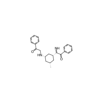 C[C@@H]1C[C@H](NCC(=O)c2ccccc2)C[C@H](C(=N)C(=O)c2ccccc2)C1